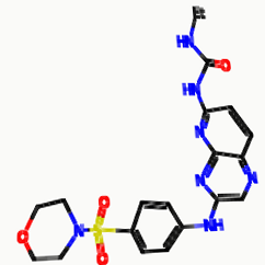 CCNC(=O)Nc1ccc2ncc(Nc3ccc(S(=O)(=O)N4CCOCC4)cc3)nc2n1